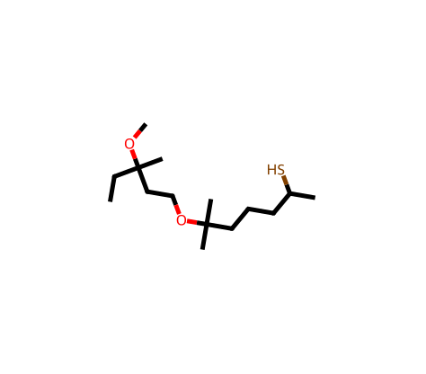 CCC(C)(CCOC(C)(C)CCCC(C)S)OC